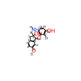 CNCC1(O)Cc2ccc(OC)cc2C1Oc1cccc(O)c1C